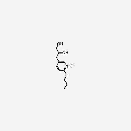 CCCOc1ccc(CC(=N)CO)c[n+]1[O-]